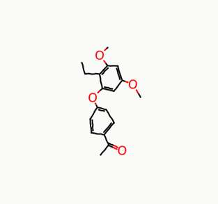 CCc1c(OC)cc(OC)cc1Oc1ccc(C(C)=O)cc1